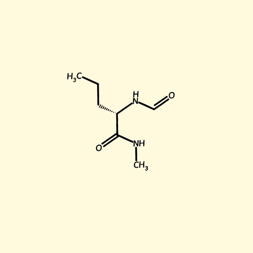 CCC[C@H](NC=O)C(=O)NC